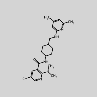 Cc1cc(C)nc(NCC2CCC(NC(=O)c3cc(Cl)cnc3N(C)C)CC2)c1